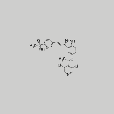 C[C@H](Oc1ccc2[nH]nc(/C=C/c3ccc(S(C)(=N)=O)nc3)c2c1)c1c(Cl)cncc1Cl